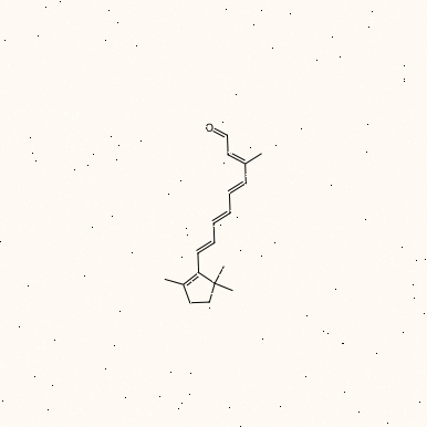 CC(C=CC=CC=CC1=C(C)CCC1(C)C)=CC=O